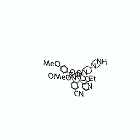 CCOc1ncccc1C1(OC(=O)N2CCC(N3CCNCC3)CC2)C(=O)N(S(=O)(=O)c2ccc(OC)cc2OC)c2ccc(C#N)cc21